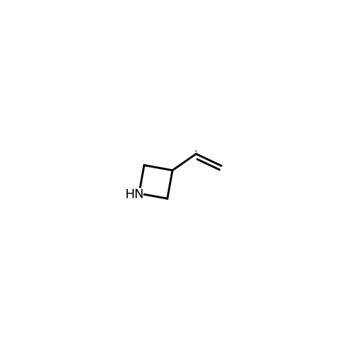 C=[C]C1CNC1